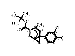 COC[C@@]12CN(C(=O)OC(C)(C)C)CCC1(c1ccc(Cl)c(Cl)c1)C2